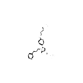 N#CCCCCOc1ccc([C@@H]2C[C@@H](CC(=O)O)C(=O)N2CCCc2ccccc2)cc1